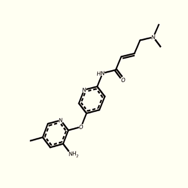 Cc1cnc(Oc2ccc(NC(=O)/C=C/CN(C)C)nc2)c(N)c1